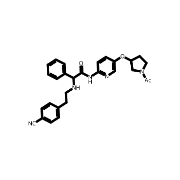 CC(=O)N1CCC(Oc2ccc(NC(=O)C(NCCc3ccc(C#N)cc3)c3ccccc3)nc2)C1